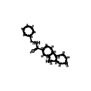 O=C(NCc1ccccc1)c1ccc2c(c1)[nH]c1cnccc12